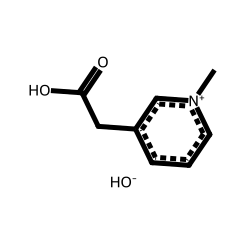 C[n+]1cccc(CC(=O)O)c1.[OH-]